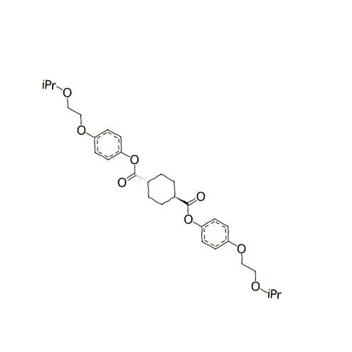 CC(C)OCCOc1ccc(OC(=O)[C@H]2CC[C@H](C(=O)Oc3ccc(OCCOC(C)C)cc3)CC2)cc1